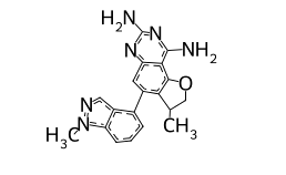 CC1COc2c1c(-c1cccc3c1cnn3C)cc1nc(N)nc(N)c21